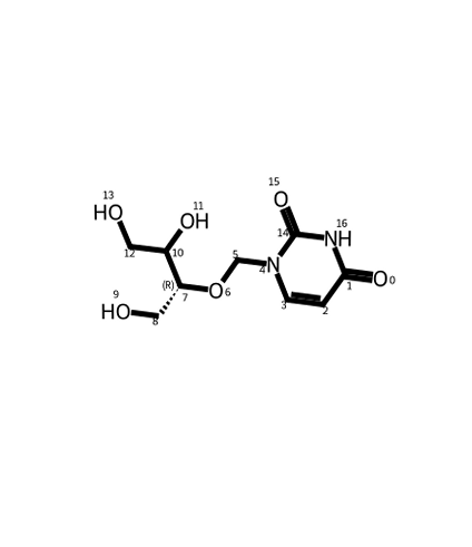 O=c1ccn(CO[C@H](CO)C(O)CO)c(=O)[nH]1